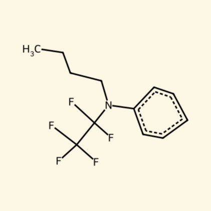 CCCCN(c1ccccc1)C(F)(F)C(F)(F)F